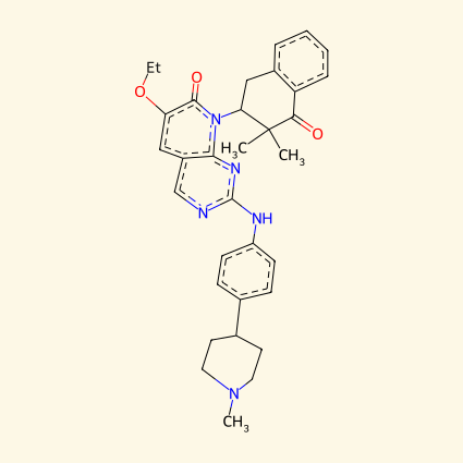 CCOc1cc2cnc(Nc3ccc(C4CCN(C)CC4)cc3)nc2n(C2Cc3ccccc3C(=O)C2(C)C)c1=O